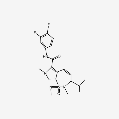 CN=S1(=O)c2cn(C)c(C(=O)Nc3ccc(F)c(F)c3)c2C=CC(C(C)C)N1C